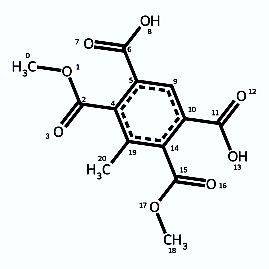 COC(=O)c1c(C(=O)O)cc(C(=O)O)c(C(=O)OC)c1C